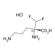 Cl.NCCC[C@](N)(C(=O)O)C(F)F